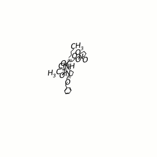 CCCCC[C@H](CC(=O)ON1C(=O)CCC1=O)C(=O)N[C@H](C(=O)N1CCC[C@H]1COCc1ccccc1)C(C)C